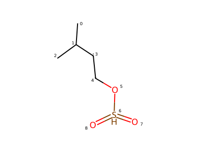 CC(C)[CH]CO[SH](=O)=O